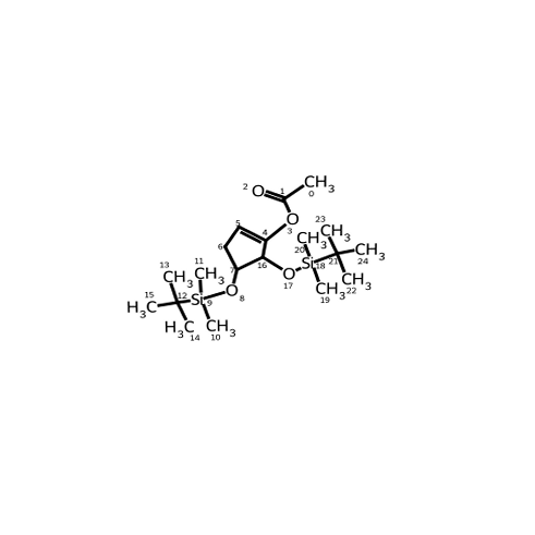 CC(=O)OC1=CCC(O[Si](C)(C)C(C)(C)C)C1O[Si](C)(C)C(C)(C)C